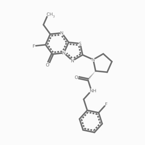 CCc1nc2sc(N3CCC[C@@H]3C(=O)NCc3ccccc3F)nn2c(=O)c1F